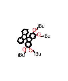 CCC(C)COc1cc2c(cc1OCC(C)CC)C1(c3c[c]ccc3-c3ccccc31)c1cc(OCC(C)CC)c(OCC(C)CC)cc1-2